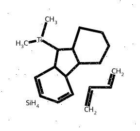 C=CC=C.[CH3][Ti]([CH3])[CH]1C2C=CC=CC2C2CCCCC21.[SiH4]